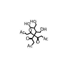 CC(=O)CC(=O)C(C(=O)CC(C)=O)(C(=O)CC(C)=O)C(CO)C(CO)CO